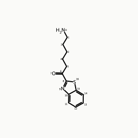 NCCCCCC(=O)c1nc2ccccc2s1